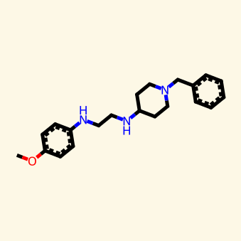 COc1ccc(NCCNC2CCN(Cc3ccccc3)CC2)cc1